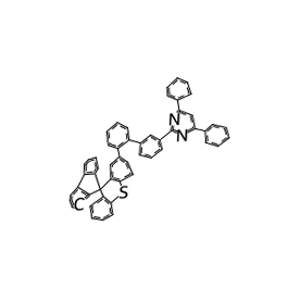 c1ccc(-c2cc(-c3ccccc3)nc(-c3cccc(-c4ccccc4-c4ccc5c(c4)C4(c6ccccc6S5)c5ccccc5-c5ccccc54)c3)n2)cc1